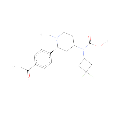 COC(=O)c1ccc([C@@H]2CC(N(C(=O)OC(C)(C)C)C3CC(F)(F)C3)CCN2C(=O)O)cc1